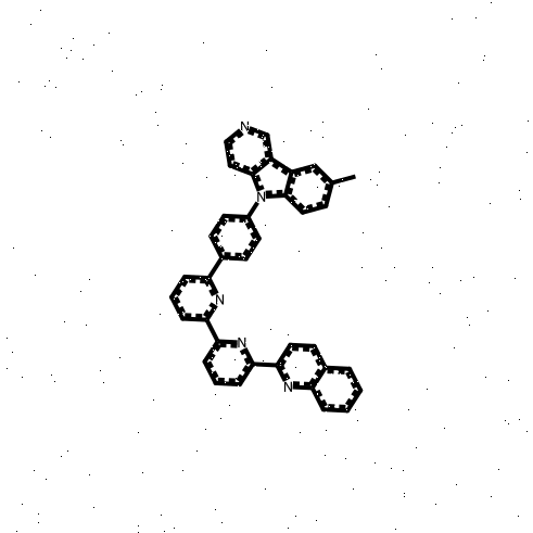 Cc1ccc2c(c1)c1cnccc1n2-c1ccc(-c2cccc(-c3cccc(-c4ccc5ccccc5n4)n3)n2)cc1